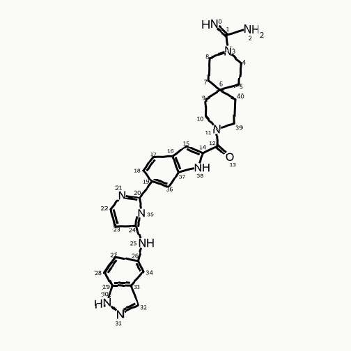 N=C(N)N1CCC2(CC1)CCN(C(=O)c1cc3ccc(-c4nccc(Nc5ccc6[nH]ncc6c5)n4)cc3[nH]1)CC2